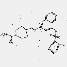 N=C(N)N1CCC(COc2cc(OS(=O)(=O)c3ccccc3Cl)c3ccccc3c2)CC1